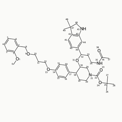 COc1ccccc1COCCCOc1ccc(C2CCN(C(=O)OC(C)(C)C)CC2OC(CCNC(C)=O)c2ccc3c(c2)NCC3(C)C)cc1